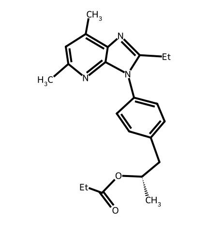 CCC(=O)O[C@@H](C)Cc1ccc(-n2c(CC)nc3c(C)cc(C)nc32)cc1